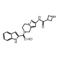 Cl.O=C(Nc1cc2n(n1)CCN(C(=O)c1cc3ccccc3[nH]1)C2)C1CNC1